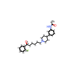 CC(C)C(=O)Nc1cccc(C2CCN(CCCCCC(=O)c3ccccc3F)CC2)c1